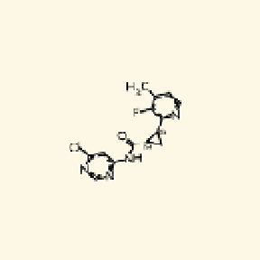 Cc1ccnc([C@H]2C[C@@H]2C(=O)Nc2cc(Cl)ncn2)c1F